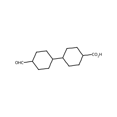 O=CC1CCC(C2CCC(C(=O)O)CC2)CC1